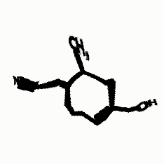 CC1CC(O)=CCC1C#N